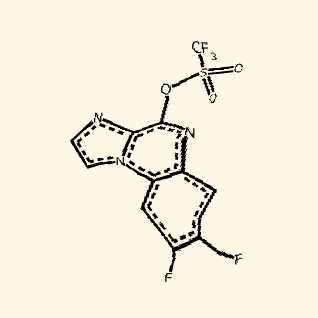 O=S(=O)(Oc1nc2cc(F)c(F)cc2n2ccnc12)C(F)(F)F